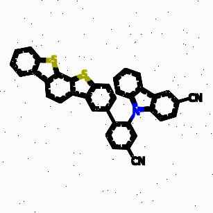 N#Cc1ccc(-c2ccc3sc4c(ccc5c6ccccc6sc54)c3c2)c(-n2c3ccccc3c3cc(C#N)ccc32)c1